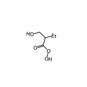 CCC(CO)C(=O)OO